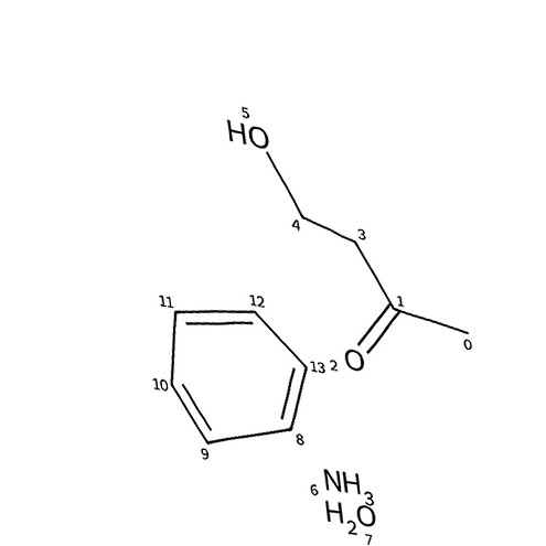 CC(=O)CCO.N.O.c1ccccc1